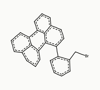 BrCc1ccccc1-c1ccc2cccc3c4cccc5cccc(c1c23)c54